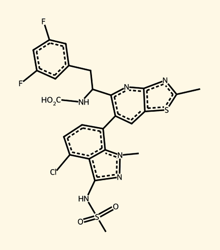 Cc1nc2nc(C(Cc3cc(F)cc(F)c3)NC(=O)O)c(-c3ccc(Cl)c4c(NS(C)(=O)=O)nn(C)c34)cc2s1